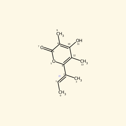 C/C=C(\C)c1oc(=O)c(C)c(O)c1C